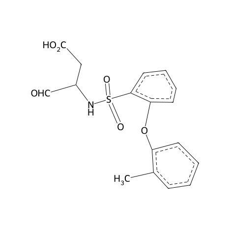 Cc1ccccc1Oc1ccccc1S(=O)(=O)NC(C=O)CC(=O)O